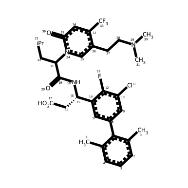 Cc1cccc(C)c1-c1cc(Cl)c(F)c([C@H](CC(=O)O)NC(=O)C(CC(C)C)n2cc(CCN(C)C)c(C(F)(F)F)cc2=O)c1